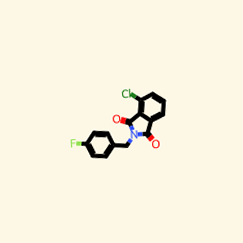 O=C1c2cccc(Cl)c2C(=O)N1Cc1ccc(F)cc1